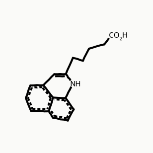 O=C(O)CCCCC1=Cc2cccc3cccc(c23)N1